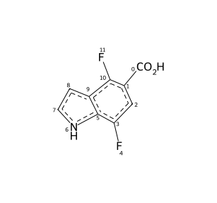 O=C(O)c1cc(F)c2[nH]ccc2c1F